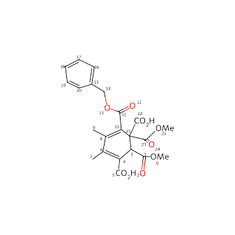 COC(=O)C1C(C(=O)O)=C(C)C(C)=C(C(=O)OCc2ccccc2)C1(C(=O)O)C(=O)OC